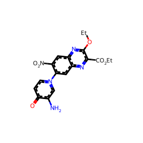 CCOC(=O)c1nc2cc(-n3ccc(=O)c(N)c3)c([N+](=O)[O-])cc2nc1OCC